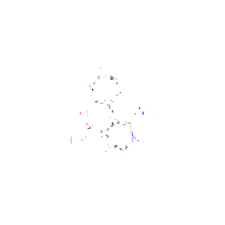 Nc1nccc(C(=O)O)c1-c1ccccc1